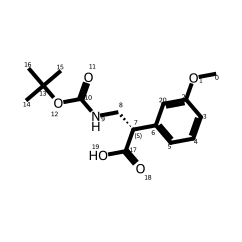 COc1cccc([C@@H](CNC(=O)OC(C)(C)C)C(=O)O)c1